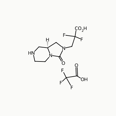 O=C(O)C(F)(F)F.O=C1N(CC(F)(F)C(=O)O)C[C@@H]2CNCCN12